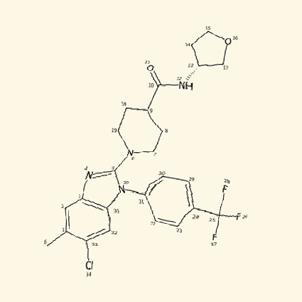 Cc1cc2nc(N3CCC(C(=O)N[C@@H]4CCOC4)CC3)n(-c3ccc(C(F)(F)F)cc3)c2cc1Cl